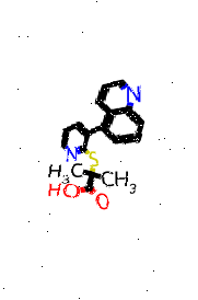 CC(C)(Sc1ncccc1-c1cccc2ncccc12)C(=O)O